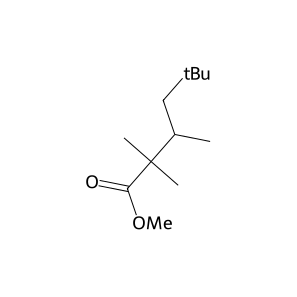 COC(=O)C(C)(C)C(C)CC(C)(C)C